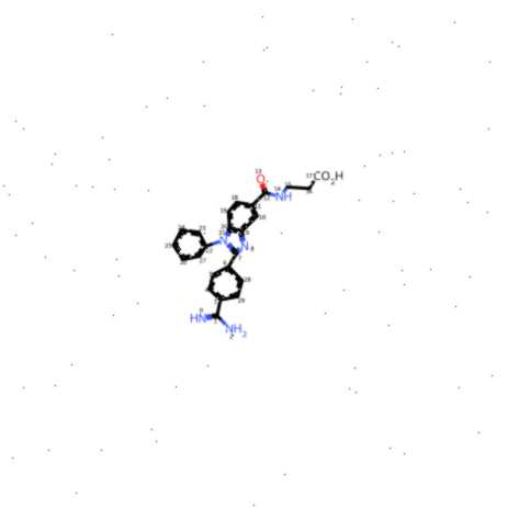 N=C(N)c1ccc(-c2nc3cc(C(=O)NCCC(=O)O)ccc3n2-c2ccccc2)cc1